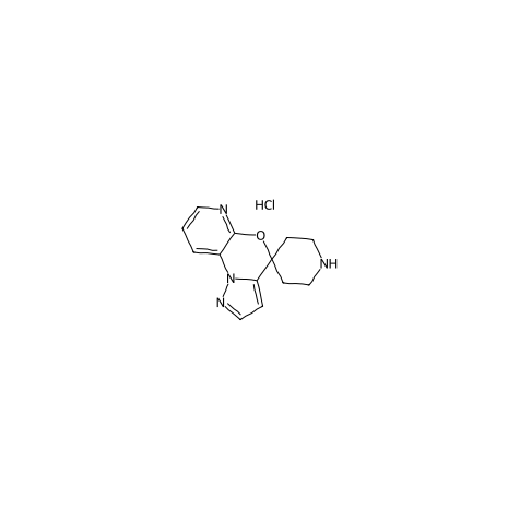 Cl.c1cnc2c(c1)-n1nccc1C1(CCNCC1)O2